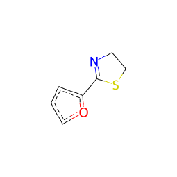 c1coc(C2=NCCS2)c1